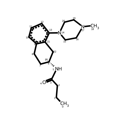 CCCC(=O)N[C@@H]1CCc2cccc(N3CCN(C)CC3)c2C1